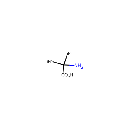 CC(C)C(N)(C(=O)O)C(C)C